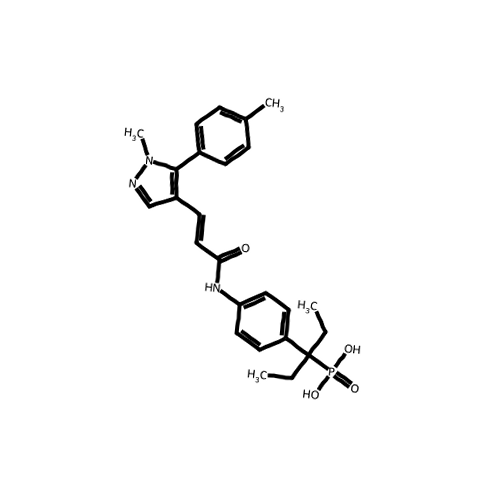 CCC(CC)(c1ccc(NC(=O)C=Cc2cnn(C)c2-c2ccc(C)cc2)cc1)P(=O)(O)O